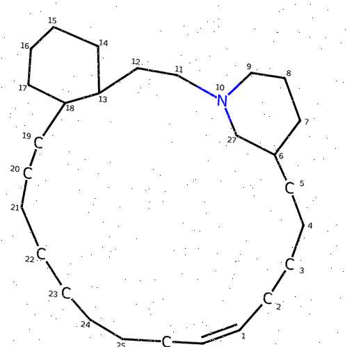 C1=CCCCCC2CCCN(CCC3CCCCC3CCCCCCCC1)C2